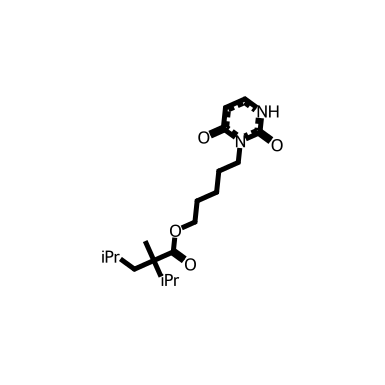 CC(C)CC(C)(C(=O)OCCCCCn1c(=O)cc[nH]c1=O)C(C)C